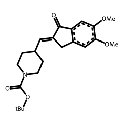 COc1cc2c(cc1OC)C(=O)C(=CC1CCN(C(=O)OC(C)(C)C)CC1)C2